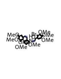 COc1cc(/C=C\c2ccc(OC)c(OC)c2N/C=C\C(=O)c2cc(OC)c(OC)c(OC)c2Br)cc(OC)c1OC